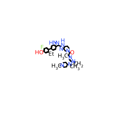 C=N/C(=C\N=C(/C)C(=O)N1CCc2[nH]c(-c3n[nH]c4cc(-c5cc(F)c(O)cc5CC)ccc34)nc2C1)N(C)C1CCN(C)CC1